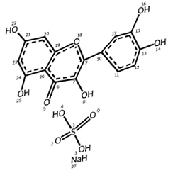 O=S(=O)(O)O.O=c1c(O)c(-c2ccc(O)c(O)c2)oc2cc(O)cc(O)c12.[NaH]